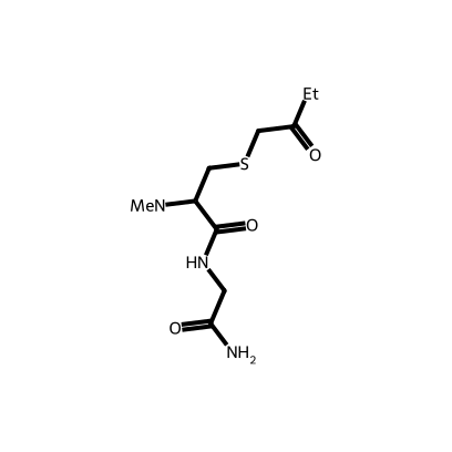 CCC(=O)CSCC(NC)C(=O)NCC(N)=O